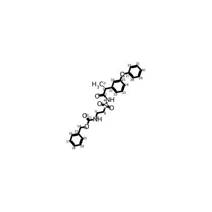 C[C@@H](C(=O)NS(=O)(=O)CCNC(=O)OCc1ccccc1)c1cccc(Oc2ccccc2)c1